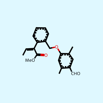 CC=C(C(=O)OC)c1ccccc1COc1cc(C)c(C=O)cc1C